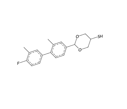 Cc1cc(-c2ccc(C3OCC(S)CO3)cc2C)ccc1F